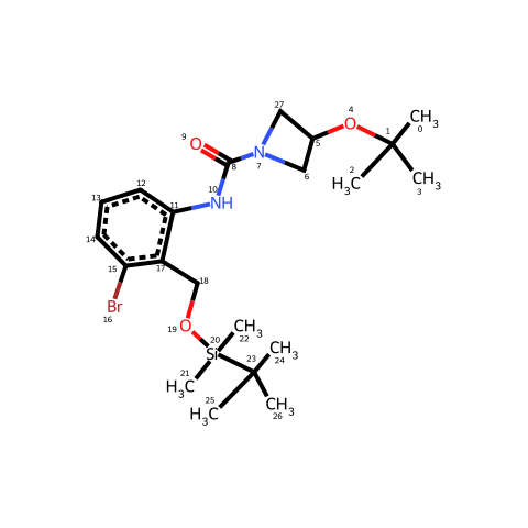 CC(C)(C)OC1CN(C(=O)Nc2cccc(Br)c2CO[Si](C)(C)C(C)(C)C)C1